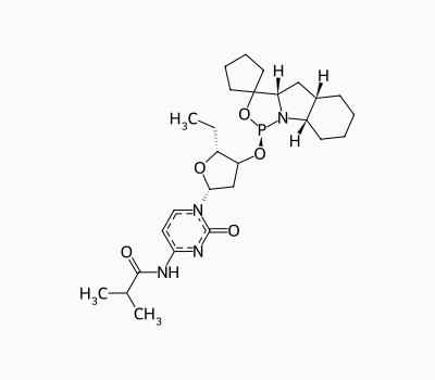 CC[C@H]1O[C@@H](n2ccc(NC(=O)C(C)C)nc2=O)CC1O[P@@]1OC2(CCCC2)[C@@H]2C[C@@H]3CCCC[C@@H]3N21